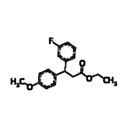 CCOC(=O)CC(c1ccc(OC)cc1)c1cccc(F)c1